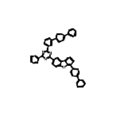 c1ccc(-c2ccc(-c3cccc(-c4nc(-c5ccccc5)nc(-c5ccc6oc7c(-c8ccc(-c9ccccc9)cc8)cccc7c6c5)n4)c3)cc2)cc1